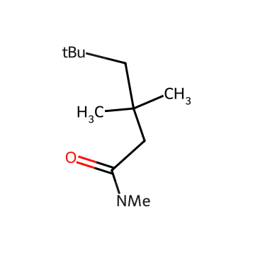 CNC(=O)CC(C)(C)CC(C)(C)C